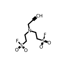 C#CCN(CCS(=O)(=O)F)CCS(=O)(=O)F